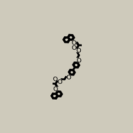 CC(=COc1cccc2ccccc12)C(=O)OCCCOc1ccc(-c2ccc(OCCCOC(=O)C(C)=COc3cccc4ccccc34)cc2)cc1